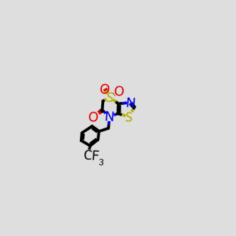 O=C1CS(=O)(=O)c2ncsc2N1Cc1cccc(C(F)(F)F)c1